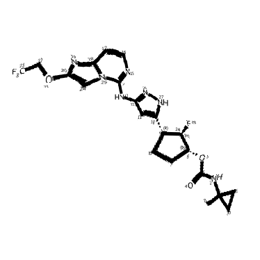 CC1(NC(=O)O[C@@H]2CC[C@H](c3cc(Nc4nccc5nc(OCC(F)(F)F)cn45)n[nH]3)[C@H]2F)CC1